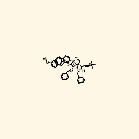 CCOc1ccc(Cc2cc([C@]34OC[C@@](C(O)C#C[Si](C)(C)C)(O3)[C@@H](OCc3ccccc3)[C@H](OCc3ccccc3)[C@@H]4OCc3ccccc3)ccc2Cl)cc1